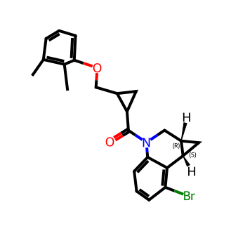 Cc1cccc(OCC2CC2C(=O)N2C[C@@H]3C[C@@H]3c3c(Br)cccc32)c1C